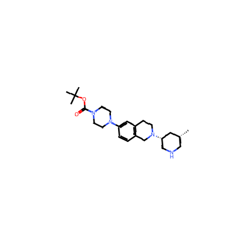 C[C@@H]1CNC[C@H](N2CCc3cc(N4CCN(C(=O)OC(C)(C)C)CC4)ccc3C2)C1